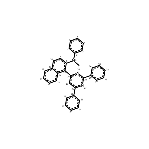 CN(c1ccccc1)c1ccc2ccccc2c1-c1cc(-c2ccccc2)nc(-c2ccccc2)n1